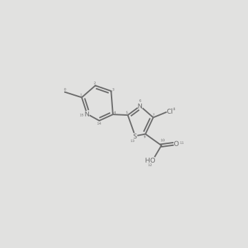 Cc1ccc(-c2nc(Cl)c(C(=O)O)s2)cn1